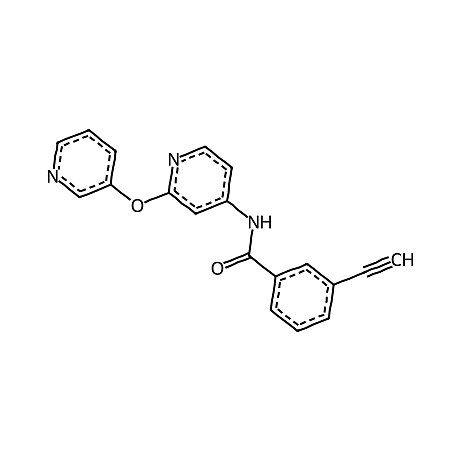 C#Cc1cccc(C(=O)Nc2ccnc(Oc3cccnc3)c2)c1